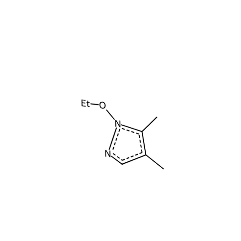 CCOn1ncc(C)c1C